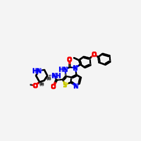 CO[C@H]1CNC[C@H](NC(=O)c2sc3nccc4c3c2NC(=O)N4c2ccc(Oc3ccccc3)cc2C)C1